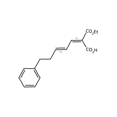 CCOC(=O)/C(=C/C=C/CCc1ccccc1)C(=O)O